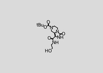 CC(C)(C)OC(=O)N1CCn2c(c(C(=O)NCCO)[nH]c2=O)C1